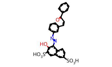 O=C(/C=C\c1cccc(N=Nc2c(O)c(S(=O)(=O)O)cc3cc(S(=O)(=O)O)ccc23)c1)c1ccccc1